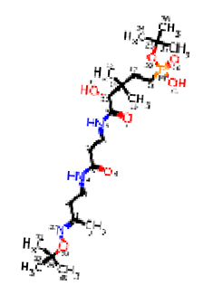 C/C(CCNC(=O)CCNC(=O)[C@H](O)C(C)(C)CCP(=O)(O)OC(C)(C)C)=N\OC(C)(C)C